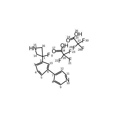 FC1(c2cccc(-c3ccncc3)c2)CNC1.O=C(O)C(F)(F)F.O=C(O)C(F)(F)F